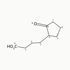 O=C(O)CCCC1CCCC1=O